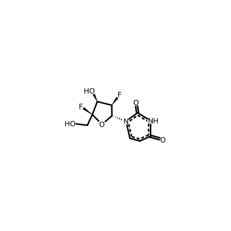 O=c1ccn([C@@H]2O[C@](F)(CO)[C@@H](O)[C@H]2F)c(=O)[nH]1